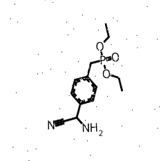 CCOP(=O)(Cc1ccc(C(N)C#N)cc1)OCC